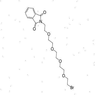 O=C1c2ccccc2C(=O)N1CCOCCOCCOCCOCCBr